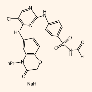 CCCN1C(=O)COc2ccc(Nc3nc(Nc4ccc(S(=O)(=O)NC(=O)CC)cc4)ncc3Cl)cc21.[NaH]